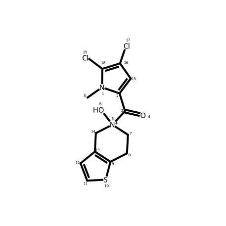 Cn1c(C(=O)[N+]2(O)CCc3sccc3C2)cc(Cl)c1Cl